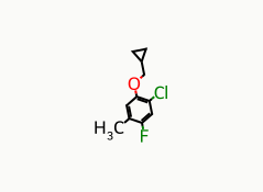 Cc1cc(OCC2CC2)c(Cl)cc1F